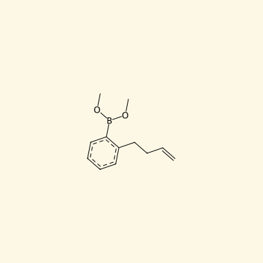 C=CCCc1ccccc1B(OC)OC